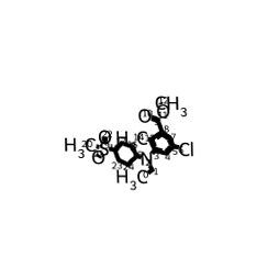 CCN(c1cc(Cl)cc(C(=O)OC)c1C)C1CCC(S(C)(=O)=O)CC1